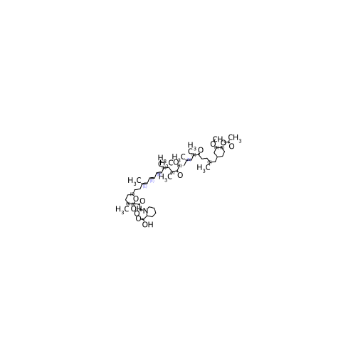 CO[C@H](C/C(C)=C/[C@@H](C)C(=O)CC[C@H](C)CC1CC[C@@H](OC(C)=O)[C@H](OC)C1)C(=O)[C@H](C)C[C@H](C)/C=C/C=C/C=C(\C)CC[C@@H]1CC[C@@H](C)[C@](O)(C(=O)C(=O)N2CCCCC2C(=O)O)O1